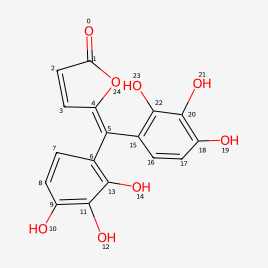 O=C1C=CC(=C(c2ccc(O)c(O)c2O)c2ccc(O)c(O)c2O)O1